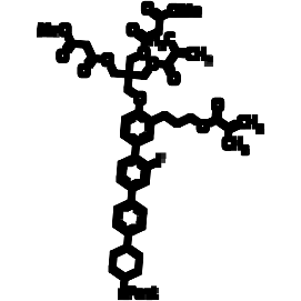 C=C(C)C(=O)OCCCc1cc(-c2ccc(-c3ccc(C4CCC(CCCCC)CC4)cc3)cc2F)ccc1OCC(COC(=O)CC(=O)OC)(COC(=O)CC(=O)OC)COC(=O)C(=C)C